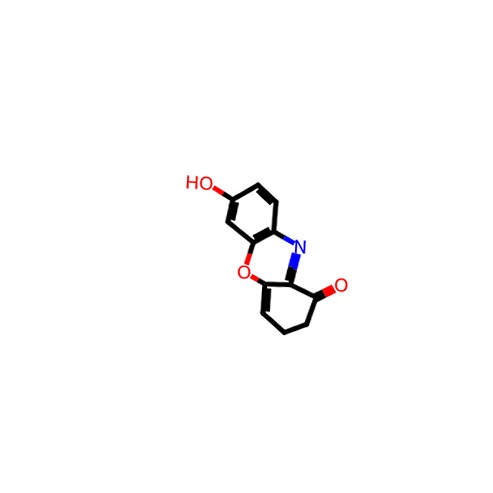 O=C1CCC=C2Oc3cc(O)ccc3N=C12